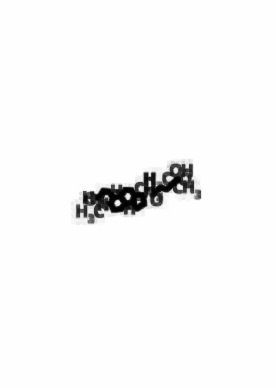 CN1C(=O)C=C[C@@]2(C)C1CC[C@@H]1[C@H]2CC[C@]2(C)C(NC(=O)CCC(C)(C)C(=O)O)CC[C@@H]12